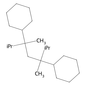 CC(C)C(C)(CC(C)(C(C)C)C1CCCCC1)C1CCCCC1